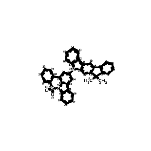 CC1(C)c2ccccc2-c2cc3c4ccccc4n(-c4cc5c6c(c4)c4ccccc4n6S(=O)(=O)c4ccccc4-5)c3cc21